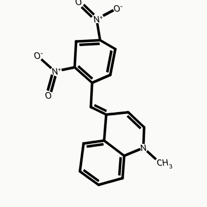 CN1C=CC(=Cc2ccc([N+](=O)[O-])cc2[N+](=O)[O-])c2ccccc21